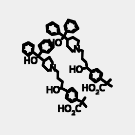 CC(C)(C(=O)O)c1ccc(C(O)CCCN2CCC(C(O)(c3ccccc3)c3ccccc3)CC2)cc1.CC(C)(C(=O)O)c1ccc(C(O)CCCN2CCC(C(O)(c3ccccc3)c3ccccc3)CC2)cc1